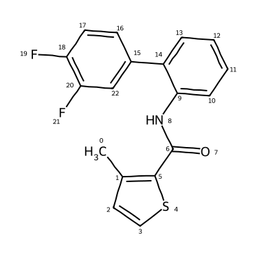 Cc1ccsc1C(=O)Nc1ccccc1-c1ccc(F)c(F)c1